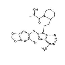 C[C@H](O)C(=O)N1CCCCC1CCn1c(Sc2cc3c(cc2Br)OCO3)nc2c(N)ncnc21